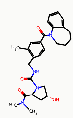 Cc1cc(C(=O)N2CCCCc3ccccc32)ccc1CNC(=O)N1C[C@H](O)C[C@H]1C(=O)N(C)C